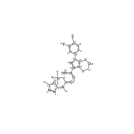 Cc1nnc(N(C)C(=O)[C@@H](NC(=O)n2nc(-c3ccc(F)c(F)c3)c3c2CCOC3)C(C)(C)C)o1